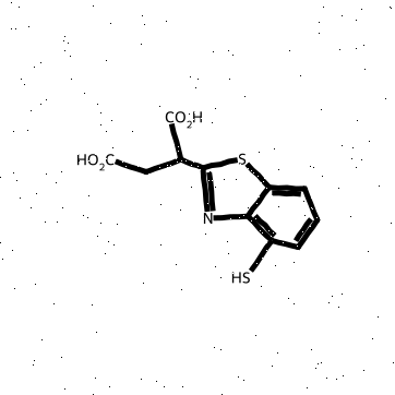 O=C(O)CC(C(=O)O)c1nc2c(S)cccc2s1